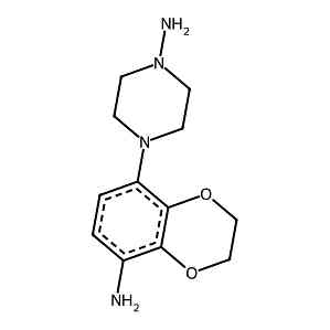 Nc1ccc(N2CCN(N)CC2)c2c1OCCO2